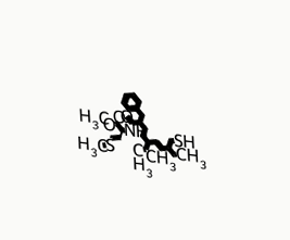 CCC(C=CC(CCC(Cc1ccccc1)C(=O)N[C@@H](CCSC)C(=O)OC)C(C)C)CS